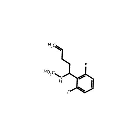 C=CCCC(NC(=O)O)c1c(F)cccc1F